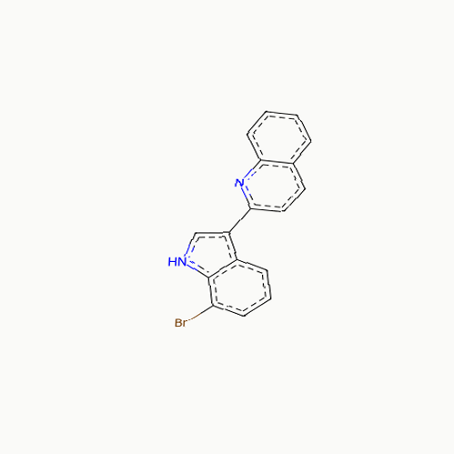 Brc1cccc2c(-c3ccc4ccccc4n3)c[nH]c12